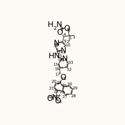 CC(C)(C)C(OC(N)=O)c1cnc(Nc2cc(COc3ccc([N+](=O)[O-])c4ccccc34)ccn2)cn1